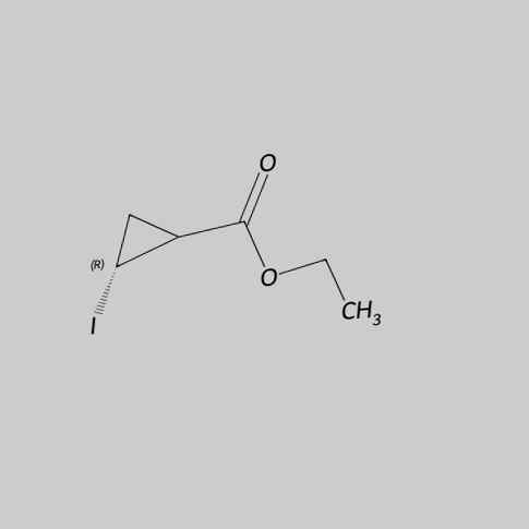 CCOC(=O)C1C[C@H]1I